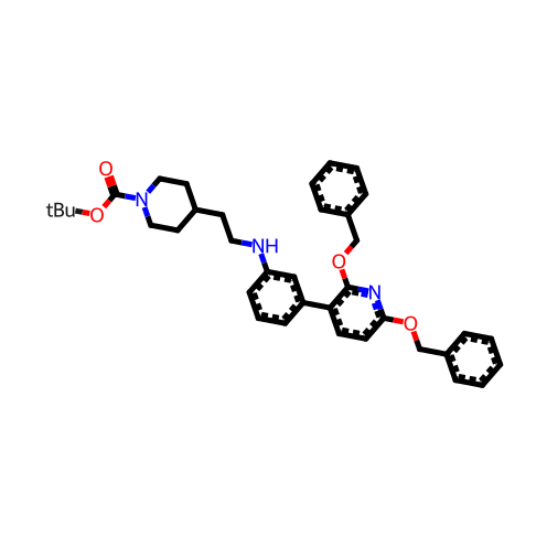 CC(C)(C)OC(=O)N1CCC(CCNc2cccc(-c3ccc(OCc4ccccc4)nc3OCc3ccccc3)c2)CC1